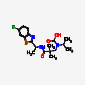 CC(NC(=O)C(C)(C)CN(C(=O)O)C(C)C)c1nc2ccc(F)cc2s1